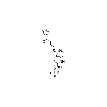 CCOC(=O)CCCSc1nccc(NC(=S)NCC(F)(F)F)n1